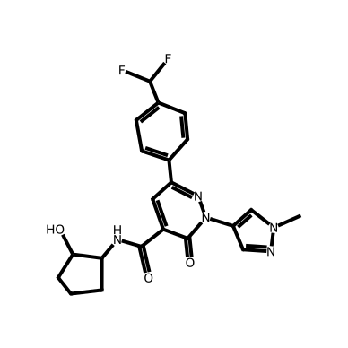 Cn1cc(-n2nc(-c3ccc(C(F)F)cc3)cc(C(=O)NC3CCCC3O)c2=O)cn1